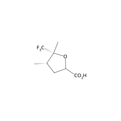 C[C@H]1CC(C(=O)O)O[C@@]1(C)C(F)(F)F